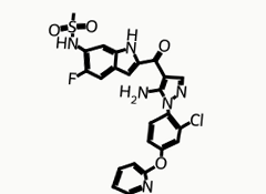 CS(=O)(=O)Nc1cc2[nH]c(C(=O)c3cnn(-c4ccc(Oc5ccccn5)cc4Cl)c3N)cc2cc1F